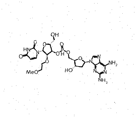 COCCO[C@@H]1[C@H](O[PH](=O)OC[C@H]2O[C@@H](n3cnc4c(N)nc(N)nc43)C[C@@H]2O)[C@@H](CO)O[C@H]1n1ccc(=O)[nH]c1=O